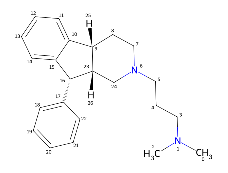 CN(C)CCCN1CC[C@H]2c3ccccc3[C@@H](c3ccccc3)[C@H]2C1